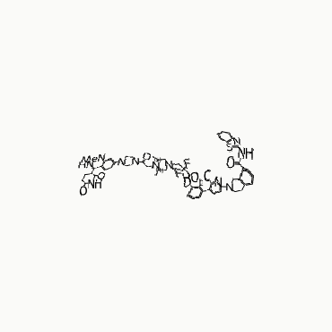 CNc1cc(N2CCN(C(=O)CN3[C@H](C)CN(CC(F)(F)COc4cccc(-c5ccc(N6CCc7cccc(C(=O)Nc8nc9ccccc9s8)c7C6)nc5C(=O)O)c4C)C[C@@H]3C)CC2)ccc1C(=N)C1CCC(=O)NC1=O